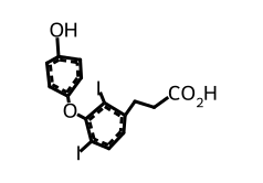 O=C(O)CCc1ccc(I)c(Oc2ccc(O)cc2)c1I